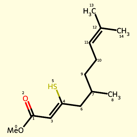 COC(=O)C=C(S)CC(C)CCC=C(C)C